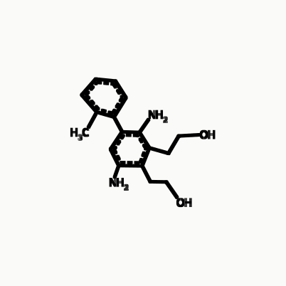 Cc1ccccc1-c1cc(N)c(CCO)c(CCO)c1N